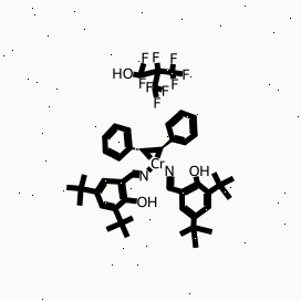 CC(C)(C)c1cc(C=[N][Cr]2([N]=Cc3cc(C(C)(C)C)cc(C(C)(C)C)c3O)[C@H](c3ccccc3)[C@H]2c2ccccc2)c(O)c(C(C)(C)C)c1.OC(F)(F)C(F)(C(F)(F)F)C(F)(F)F